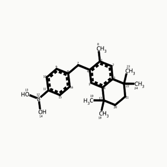 Cc1cc2c(cc1Cc1ccc(B(O)O)cc1)C(C)(C)CCC2(C)C